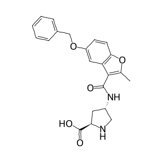 Cc1oc2ccc(OCc3ccccc3)cc2c1C(=O)N[C@@H]1CN[C@@H](C(=O)O)C1